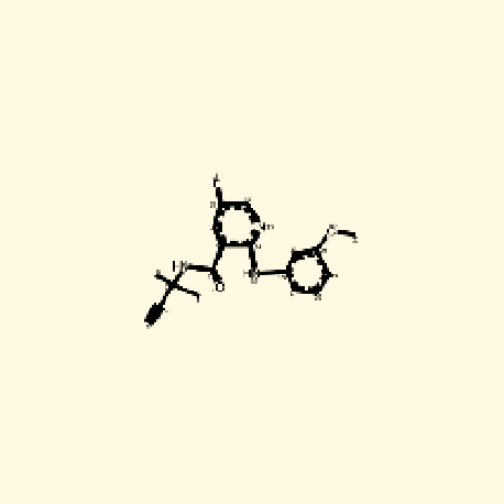 C#CC(C)(C)NC(=O)c1cc(F)cnc1Nc1cccc(OC)c1